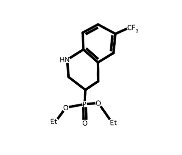 CCOP(=O)(OCC)C1CNc2ccc(C(F)(F)F)cc2C1